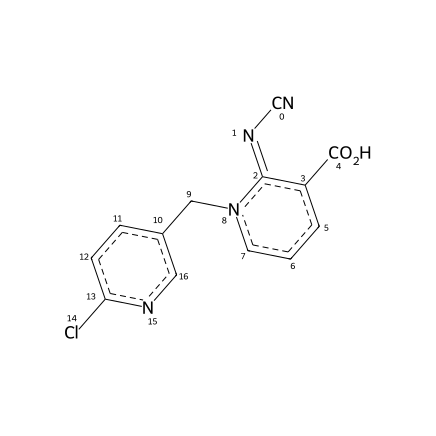 N#C/N=c1\c(C(=O)O)cccn1Cc1ccc(Cl)nc1